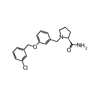 NC(=O)[C@@H]1CCCN1Cc1cccc(OCc2cccc(Cl)c2)c1